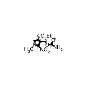 CCOC(=O)c1cn(C)c([N+](=O)[O-])c1COC(N)=O